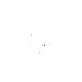 [CH2]CC(C)(C)CC(C)(C)CC(C)C